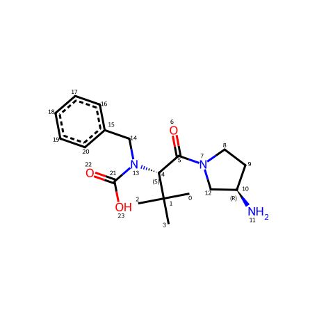 CC(C)(C)[C@@H](C(=O)N1CC[C@@H](N)C1)N(Cc1ccccc1)C(=O)O